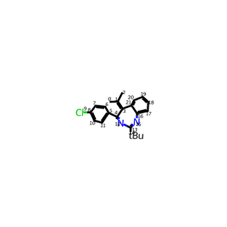 CC(C)=C1C(c2ccc(Cl)cc2)=NC(C(C)(C)C)=Nc2ccccc21